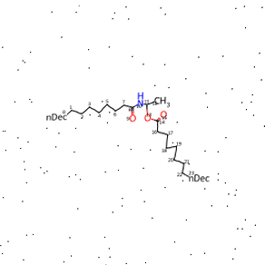 CCCCCCCCCCCCCCCCCC(=O)NC(C)OC(=O)CCCCCCCCCCCCCCCCC